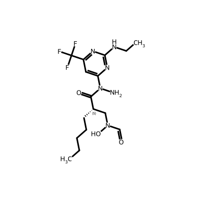 CCCCC[C@@H](CN(O)C=O)C(=O)N(N)c1cc(C(F)(F)F)nc(NCC)n1